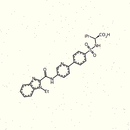 CCn1c(C(=O)Nc2ccc(-c3ccc(S(=O)(=O)N[C@H](C(=O)O)C(C)C)cc3)nc2)nc2ccccc21